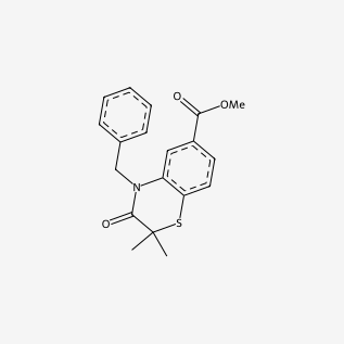 COC(=O)c1ccc2c(c1)N(Cc1ccccc1)C(=O)C(C)(C)S2